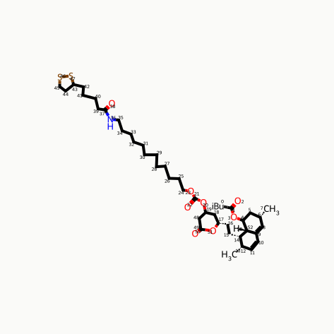 CCC(C)C(=O)OC1C[C@H](C)C=C2C=C[C@H](C)[C@H](CC[C@H]3CC(OC(=O)OCCCCCCCCCCCCNC(=O)CCCCC4CCSS4)CC(=O)O3)[C@@H]21